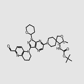 C[C@@H]1OCC2(CCN(c3cnc4c(N5CCCc6nc(C=O)ccc65)nn(C5CCCCO5)c4n3)CC2)[C@@H]1NC(=O)OC(C)(C)C